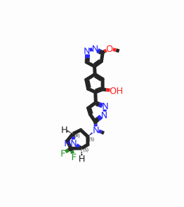 COc1cc(-c2ccc(-c3ccc(N(C)[C@H]4C[C@@H]5CC(F)(F)[C@H](C4)N5)nn3)c(O)c2)cnn1